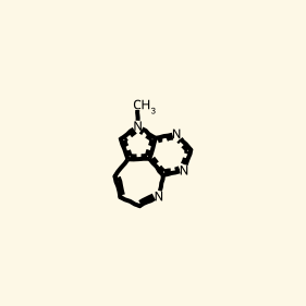 Cn1cc2c3c(ncnc31)N=CC=C2